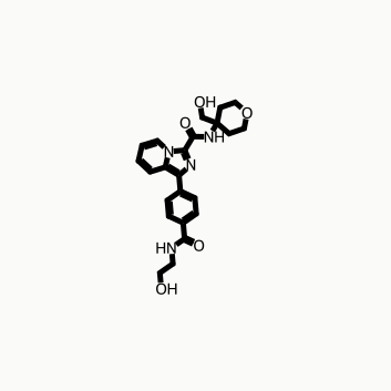 O=C(NCCO)c1ccc(-c2nc(C(=O)NC3(CO)CCOCC3)n3ccccc23)cc1